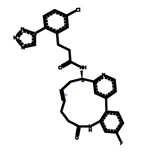 O=C1CC/C=C/C[C@H](NC(=O)CCc2cc(Cl)ccc2-n2cnnn2)c2cc(ccn2)-c2ccc(F)cc2N1